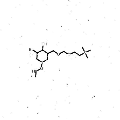 CBON1CC(CC)C(O)C(COCOCC[Si](C)(C)C)C1